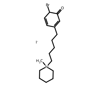 C[N+]1(CCCCCC2=CC(=O)C(Br)C=C2)CCCCC1.[I-]